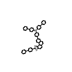 c1ccc(-c2ccc(-c3nc4c(ccc5ccc6cc(-c7ccc(N(c8ccc(-c9ccccc9)cc8)c8ccc(-c9ccccc9)cc8)cc7)ccc6c54)s3)cc2)cc1